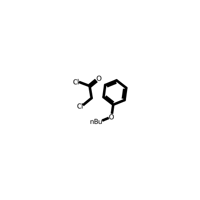 CCCCOc1ccccc1.O=C(Cl)CCl